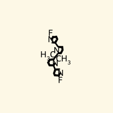 CC(C)(c1cccc(-c2ccc(F)nc2)n1)c1cccc(-c2ccc(F)nc2)n1